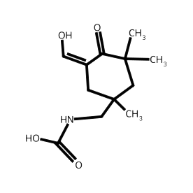 CC1(CNC(=O)O)CC(=CO)C(=O)C(C)(C)C1